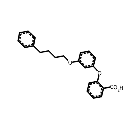 O=C(O)c1ccccc1Oc1cccc(OCCCCc2ccccc2)c1